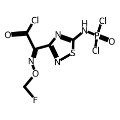 O=C(Cl)/C(=N/OCF)c1nsc(NP(=O)(Cl)Cl)n1